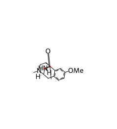 COc1ccc2c(c1)[C@]13CCN(C)[C@H](C2)[C@@H]1CNC(=O)C3